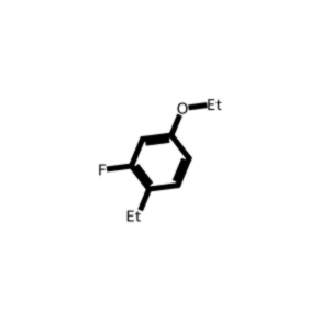 CCOc1ccc(CC)c(F)c1